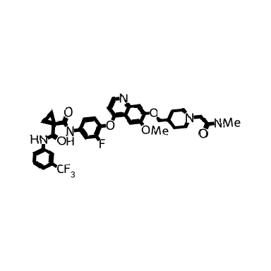 CNC(=O)CN1CCC(COc2cc3nccc(Oc4ccc(NC(=O)C5(C(=O)Nc6cccc(C(F)(F)F)c6)CC5)cc4F)c3cc2OC)CC1